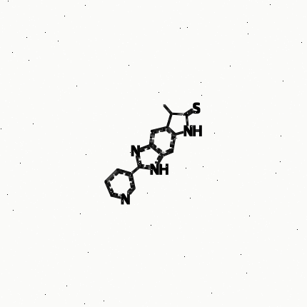 CC1C(=S)Nc2cc3[nH]c(-c4cccnc4)nc3cc21